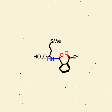 CCC(=O)c1ccccc1C(=O)NC(CCSC)C(=O)O